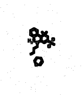 C1=COCCC1.CCCCOC1=C(c2ccccc2N)C(C)(C)CC(S(C)(=O)=O)=C1